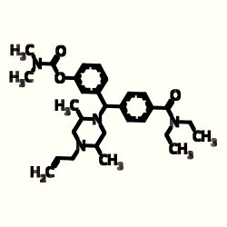 C=CCN1CC(C)N(C(c2ccc(C(=O)N(CC)CC)cc2)c2cccc(OC(=O)N(C)C)c2)CC1C